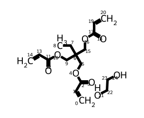 C=CC(=O)OCC(CC)(COC(=O)C=C)COC(=O)C=C.OCCO